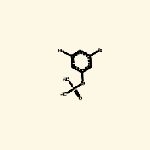 CCc1cc(CC)cc(OP(=O)(O)O)c1